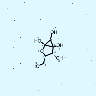 OC[C@H]1O[C@]2(O)C(O)[C@]2(O)[C@@H]1O